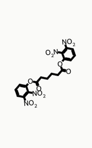 O=C(CCCCC(=O)Oc1cccc([N+](=O)[O-])c1[N+](=O)[O-])Oc1cccc([N+](=O)[O-])c1[N+](=O)[O-]